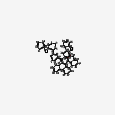 c1cc(-c2cccc3c2oc2ccccc23)cc(N(c2ccc3oc4ccccc4c3c2)c2c(-c3cccc4ccccc34)c3ccccc3c3ccccc23)c1